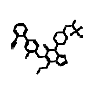 CCCc1c(Cc2ccc(-c3ccccc3C#N)cc2F)c(=O)n(C2CCC(OC(C)C(C)(C)O)CC2)c2ncnn12